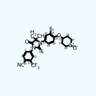 CC1(C)C(=O)N(c2ccc(C#N)c(C(F)(F)F)c2)C(=S)N1c1ccc(OC2CC[S+]([O-])CC2)c(F)c1